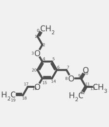 C=CCOc1cc(COC(=O)C(=C)C)cc(OCC=C)c1